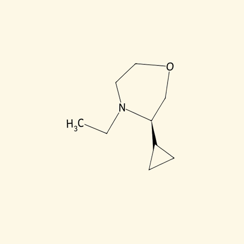 CCN1CCOC[C@H]1C1CC1